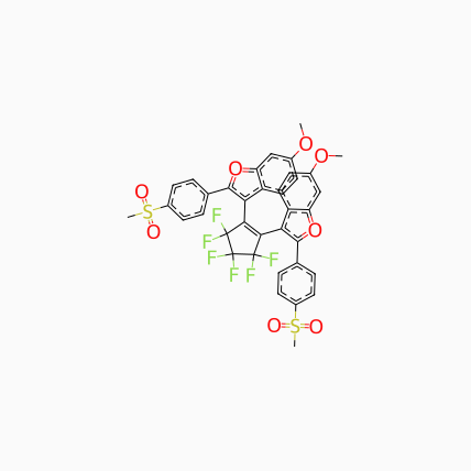 COc1ccc2c(C3=C(c4c(-c5ccc(S(C)(=O)=O)cc5)oc5cc(OC)ccc45)C(F)(F)C(F)(F)C3(F)F)c(-c3ccc(S(C)(=O)=O)cc3)oc2c1